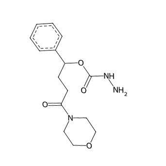 NNC(=O)OC(CCC(=O)N1CCOCC1)c1ccccc1